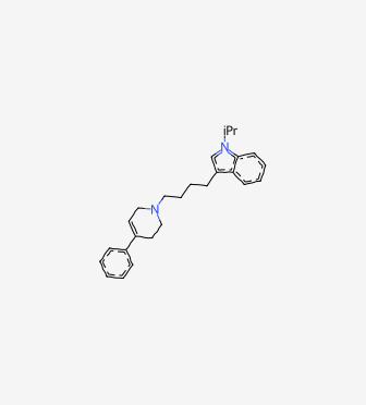 CC(C)n1cc(CCCCN2CC=C(c3ccccc3)CC2)c2ccccc21